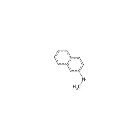 C[N]c1ccc2ccccc2c1